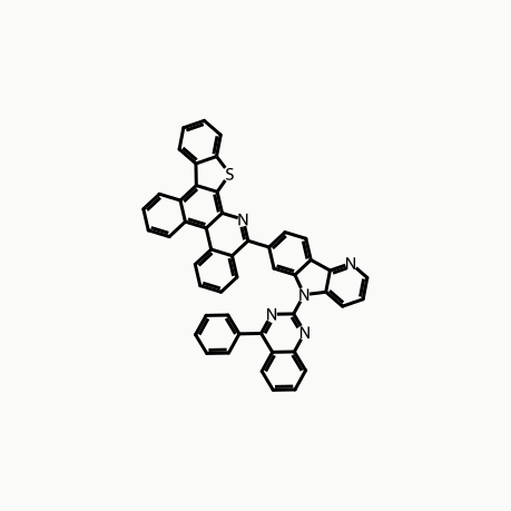 c1ccc(-c2nc(-n3c4cc(-c5nc6c7sc8ccccc8c7c7ccccc7c6c6ccccc56)ccc4c4ncccc43)nc3ccccc23)cc1